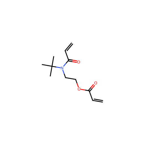 C=CC(=O)OCCN(C(=O)C=C)C(C)(C)C